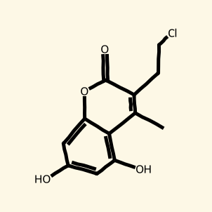 Cc1c(CCCl)c(=O)oc2cc(O)cc(O)c12